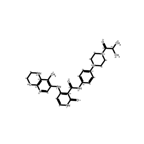 Cc1c(Nc2cc[nH]c(=O)c2C(=O)Nc2ccc(N3CCN(C(=O)C(C)C)CC3)cc2)cnc2c1NCCO2